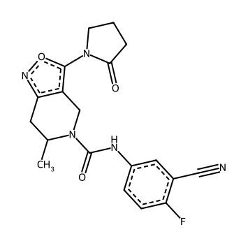 CC1Cc2noc(N3CCCC3=O)c2CN1C(=O)Nc1ccc(F)c(C#N)c1